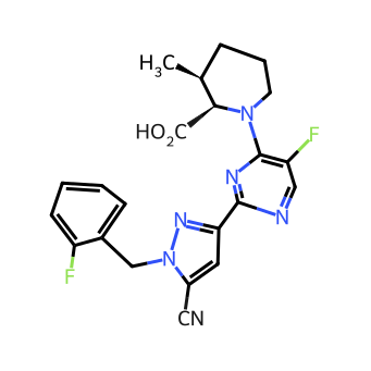 C[C@H]1CCCN(c2nc(-c3cc(C#N)n(Cc4ccccc4F)n3)ncc2F)[C@H]1C(=O)O